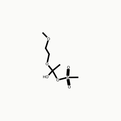 COCCOC(C)(O)OS(C)(=O)=O